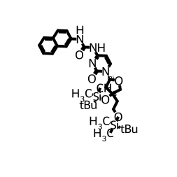 CC(C)(C)[Si](C)(C)OCCC1(O[Si](C)(C)C(C)(C)C)CO[C@@H](n2ccc(NC(=O)Nc3ccc4ccccc4c3)nc2=O)C1